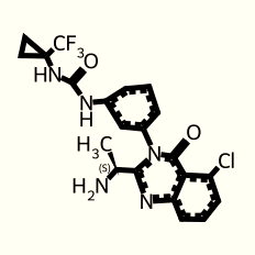 C[C@H](N)c1nc2cccc(Cl)c2c(=O)n1-c1cccc(NC(=O)NC2(C(F)(F)F)CC2)c1